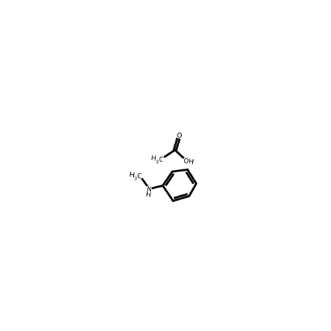 CC(=O)O.CNc1ccccc1